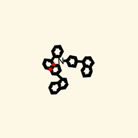 c1ccc(-c2ccccc2N(c2ccc(-c3cccc4ccccc34)cc2)c2cccc(-c3cccc4ccccc34)c2)cc1